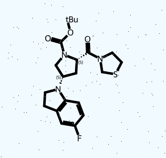 CC(C)(C)OC(=O)N1C[C@@H](N2CCc3cc(F)ccc32)C[C@H]1C(=O)N1CCSC1